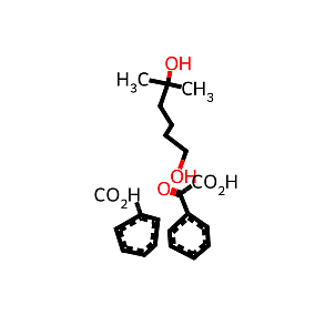 CC(C)(O)CCCCO.O=C(O)C(=O)c1ccccc1.O=C(O)c1ccccc1